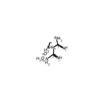 CC.N=C(N)NC(=N)N.O.O